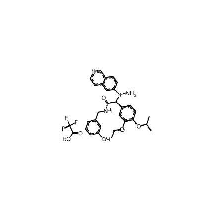 CCOc1cc(C(C(=O)NCc2cccc(O)c2)N(N)c2ccc3cnccc3c2)ccc1OC(C)C.O=C(O)C(F)(F)F